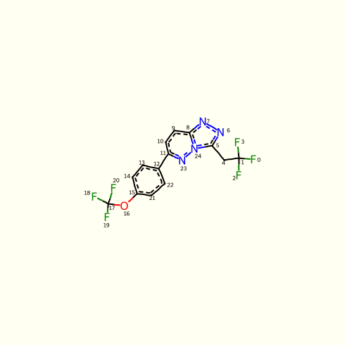 FC(F)(F)Cc1nnc2ccc(-c3ccc(OC(F)(F)F)cc3)nn12